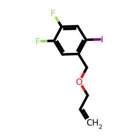 C=CCOCc1cc(F)c(F)cc1I